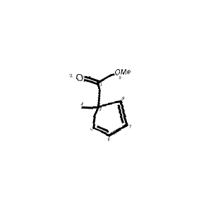 COC(=O)C1(C)C=CC=C1